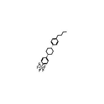 CCCCc1ccc([C@H]2CC[C@H](c3ccc(S(F)(F)(F)(F)F)cc3)CC2)cc1